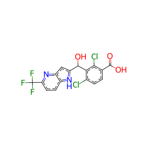 O=C(O)c1ccc(Cl)c(C(O)c2cc3nc(C(F)(F)F)ccc3[nH]2)c1Cl